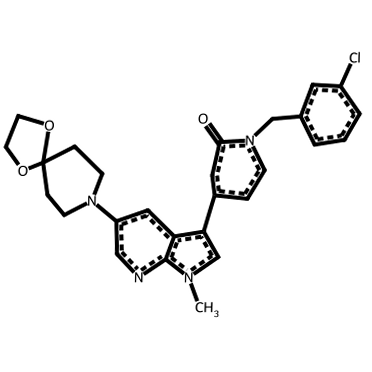 Cn1cc(-c2ccn(Cc3cccc(Cl)c3)c(=O)c2)c2cc(N3CCC4(CC3)OCCO4)cnc21